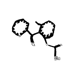 Cc1cccc(OC(=O)C(C)(C)C)c1C(=O)c1ccccn1